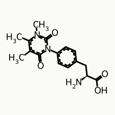 Cc1c(C)n(C)c(=O)n(-c2ccc(C[C@H](N)C(=O)O)cc2)c1=O